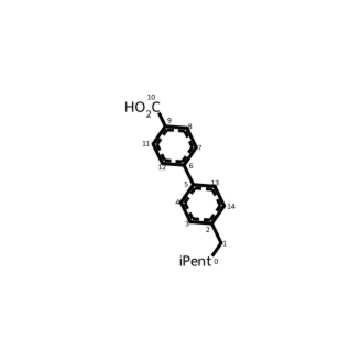 CCCC(C)Cc1ccc(-c2ccc(C(=O)O)cc2)cc1